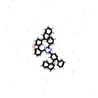 C1=CCCC(c2ccc(-c3nc(-c4ccccc4)nc(-c4cccc5oc6ccc(-c7ccc8ccccc8c7)cc6c45)n3)cc2-c2cccc3ccccc23)=C1